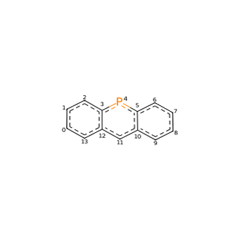 c1ccc2pc3ccccc3cc2c1